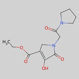 CCOC(=O)C1=C(O)C(=O)N(CC(=O)N2CCCC2)C1